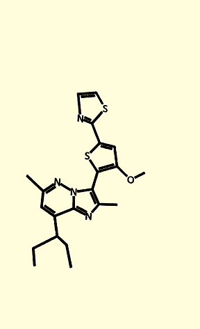 CCC(CC)c1cc(C)nn2c(-c3sc(-c4nccs4)cc3OC)c(C)nc12